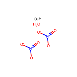 O.O=[N+]([O-])[O-].O=[N+]([O-])[O-].[Cu+2]